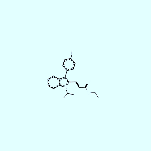 CCOC(=O)C=Cc1c(-c2ccc(F)cc2)c2ccccc2n1C(C)C